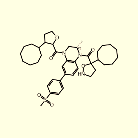 C[C@H]1CN(C(=O)C2OCCC2C2CCCCCCC2)c2cc(-c3ccc(S(C)(=O)=O)cc3)ccc2N1C(=O)C1(C2CCCCCCC2)CCNO1